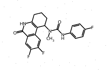 CN(C(=O)Nc1ccc(F)cc1)C1CCCc2[nH]c(=O)c3cc(F)c(F)cc3c21